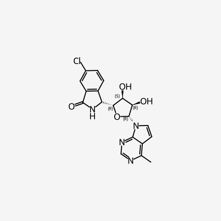 Cc1ncnc2c1ccn2[C@@H]1O[C@H](C2NC(=O)c3cc(Cl)ccc32)[C@@H](O)[C@H]1O